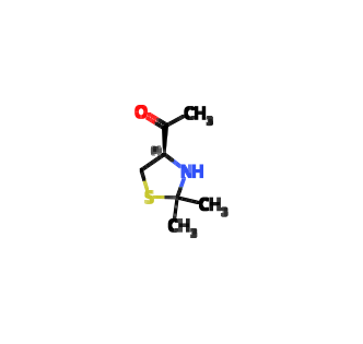 CC(=O)[C@@H]1CSC(C)(C)N1